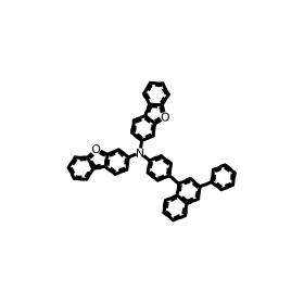 c1ccc(-c2cc(-c3ccc(N(c4ccc5c(c4)oc4ccccc45)c4ccc5c(c4)oc4ccccc45)cc3)c3ccccc3c2)cc1